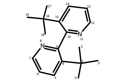 CC(C)(C)c1cccnc1-c1ncccc1C(C)(C)C